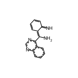 N=C1C=CC=C/C1=C(/N)c1ncnc2ccccc12